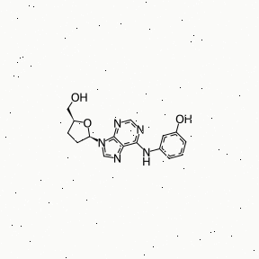 OC[C@@H]1CC[C@H](n2cnc3c(Nc4cccc(O)c4)ncnc32)O1